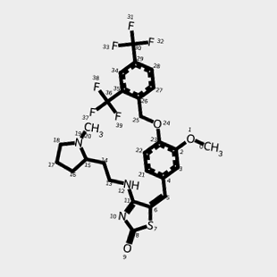 COc1cc(C=C2SC(=O)N=C2NCCC2CCCN2C)ccc1OCc1ccc(C(F)(F)F)cc1C(F)(F)F